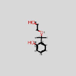 CC(C)(OCCO)c1ccccc1O